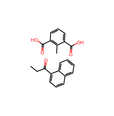 CCC(=O)c1cccc2ccccc12.Cc1c(C(=O)O)cccc1C(=O)O